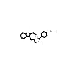 CCC1N(C(=O)c2ccc(OC)cc2)C=Cc2[nH]c3ccccc3c2C1(C)C